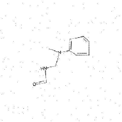 CN(CNC=O)c1ccccc1